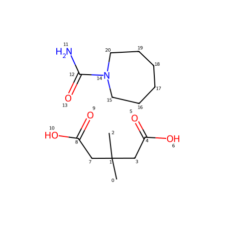 CC(C)(CC(=O)O)CC(=O)O.NC(=O)N1CCCCCC1